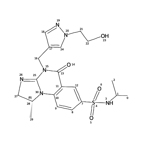 CC(C)NS(=O)(=O)c1ccc2c(c1)C(=O)N(Cc1cnn(CCO)c1)C1=NC[C@@H](C)N12